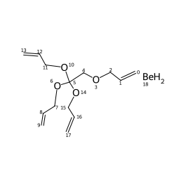 C=CCOCC(OCC=C)(OCC=C)OCC=C.[BeH2]